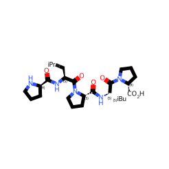 CC[C@H](C)[C@H](NC(=O)[C@@H]1CCCN1C(=O)[C@H](CC(C)C)NC(=O)[C@H]1CCCN1)C(=O)N1CCC[C@@H]1C(=O)O